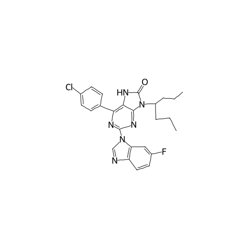 CCCC(CCC)n1c(=O)[nH]c2c(-c3ccc(Cl)cc3)nc(-n3cnc4ccc(F)cc43)nc21